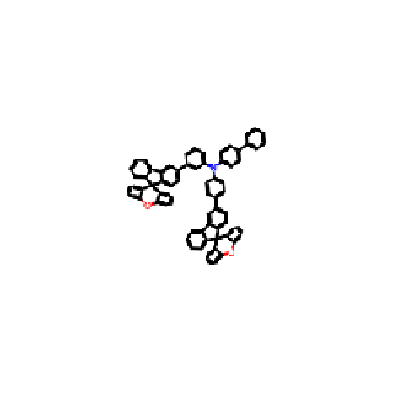 c1ccc(-c2ccc(N(c3ccc(-c4ccc5c(c4)-c4ccccc4C54c5ccccc5Oc5ccccc54)cc3)c3cccc(-c4ccc5c(c4)-c4ccccc4C54c5ccccc5Oc5ccccc54)c3)cc2)cc1